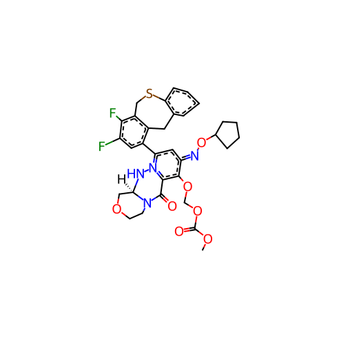 COC(=O)OCOc1c2n(c(-c3cc(F)c(F)c4c3Cc3ccccc3SC4)c/c1=N\OC1CCCC1)N[C@@H]1COCCN1C2=O